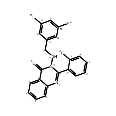 O=c1c2ccccc2nc(-c2ccccc2F)n1NCc1cc(F)cc(F)c1